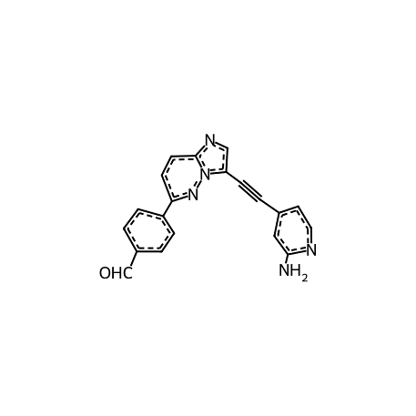 Nc1cc(C#Cc2cnc3ccc(-c4ccc(C=O)cc4)nn23)ccn1